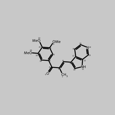 COc1cc(C(=O)/C(C)=C/c2c[nH]c3cnccc23)cc(OC)c1OC